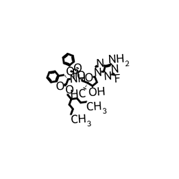 C#C[C@]1(COP(=O)(N[C@@H](Cc2ccccc2)C(=O)OCC(CCCC)CCCC)Oc2ccccc2)O[C@@H](n2cnc3c(N)nc(F)nc32)C[C@@H]1O